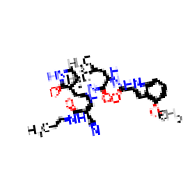 CCCNC(=O)/C(C#N)=C\C(CC1CCNC1=O)NC(=O)C(CC(C)C)NC(=O)c1cc2c(OC)cccc2[nH]1